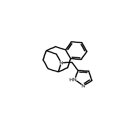 c1ccc2c(c1)CC1CCC(C2)N(Cc2ccn[nH]2)C1